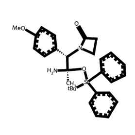 COc1ccc([C@H](N2CCC2=O)[C@](C)(N)O[Si](c2ccccc2)(c2ccccc2)C(C)(C)C)cc1